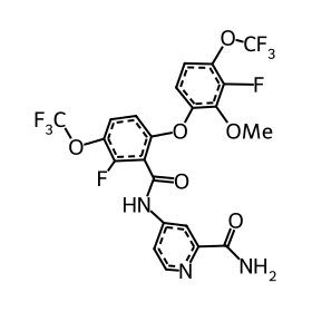 COc1c(Oc2ccc(OC(F)(F)F)c(F)c2C(=O)Nc2ccnc(C(N)=O)c2)ccc(OC(F)(F)F)c1F